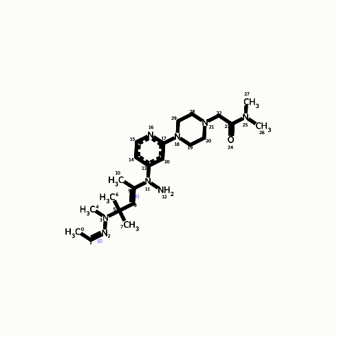 C/C=N\N(C)C(C)(C)/C=C(\C)N(N)c1ccnc(N2CCN(CC(=O)N(C)C)CC2)c1